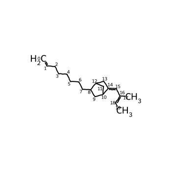 C=CCCCCCCC1CC2CC1CC2=CC(C)=CC